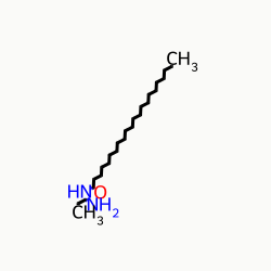 CCCCCCCCCCCCCCCCCCCCCC(=O)NC(N)CC